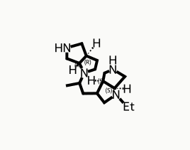 CCN1CC(CC(C)N2CC[C@@H]3CNC[C@@H]32)[C@H]2CNC[C@H]21